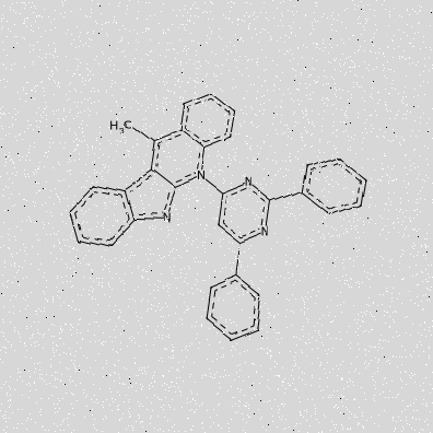 Cc1c2c3ccccc3nc-2n(-c2cc(-c3ccccc3)nc(-c3ccccc3)n2)c2ccccc12